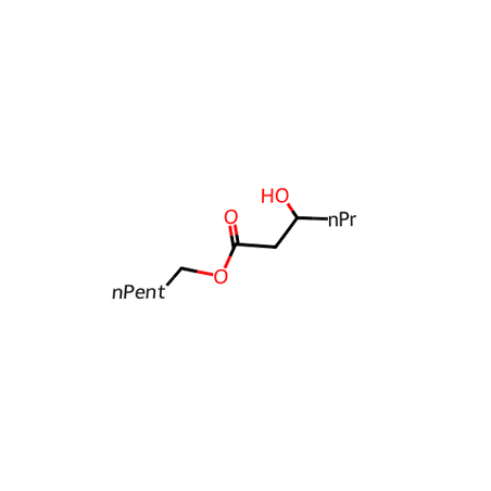 CCCCCCOC(=O)CC(O)CCC